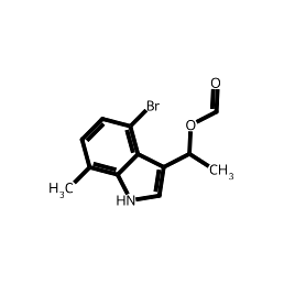 Cc1ccc(Br)c2c(C(C)OC=O)c[nH]c12